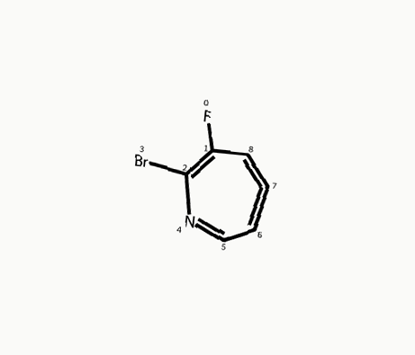 FC1=C(Br)N=CC=C=C1